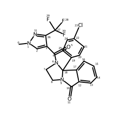 Cn1cc(C(=O)N2CCN3C(=O)c4ccccc4C32c2ccc(Cl)cc2)c(C(F)(F)F)n1